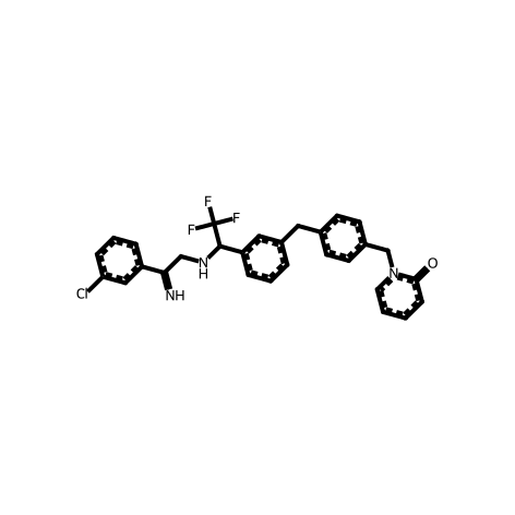 N=C(CNC(c1cccc(Cc2ccc(Cn3ccccc3=O)cc2)c1)C(F)(F)F)c1cccc(Cl)c1